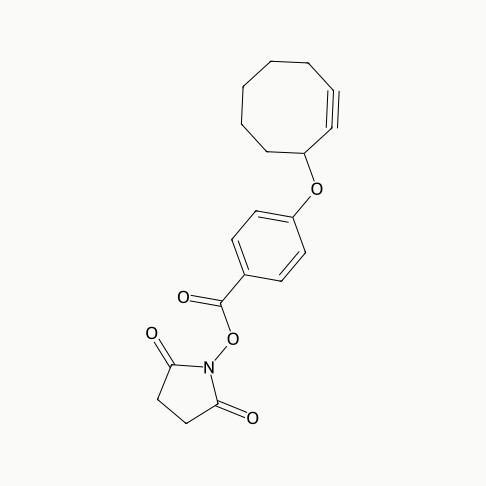 O=C(ON1C(=O)CCC1=O)c1ccc(OC2C#CCCCCC2)cc1